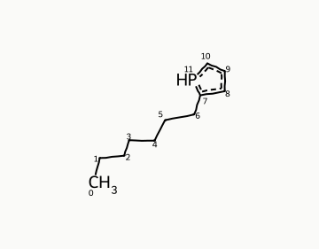 CCCCCCCc1ccc[pH]1